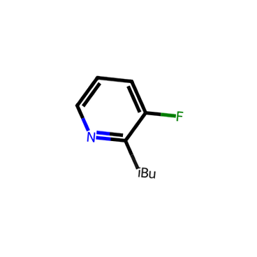 [CH2]C(CC)c1ncccc1F